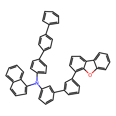 c1ccc(-c2ccc(-c3ccc(N(c4cccc(-c5cccc(-c6cccc7c6oc6ccccc67)c5)c4)c4cccc5ccccc45)cc3)cc2)cc1